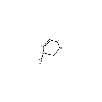 [2H]N1C=CCNC1